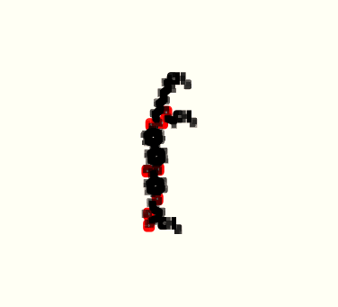 C=CC(=O)OC(CCCCCCCC)Oc1ccc(-c2ccc(OC(=O)c3ccc(OCC4CC(=C)C(=O)O4)cc3)cc2)cc1